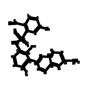 COc1ncc(Cl)cc1S(=O)(=O)Nc1ccc(F)c(-c2ccc3nc(N)cnc3c2)c1F